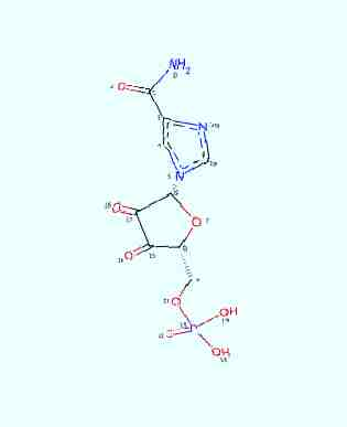 NC(=O)c1cn([C@@H]2O[C@H](COP(=O)(O)O)C(=O)C2=O)cn1